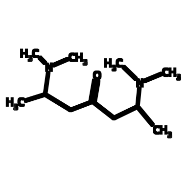 CC(CC(=O)CC(C)N(C)C)N(C)C